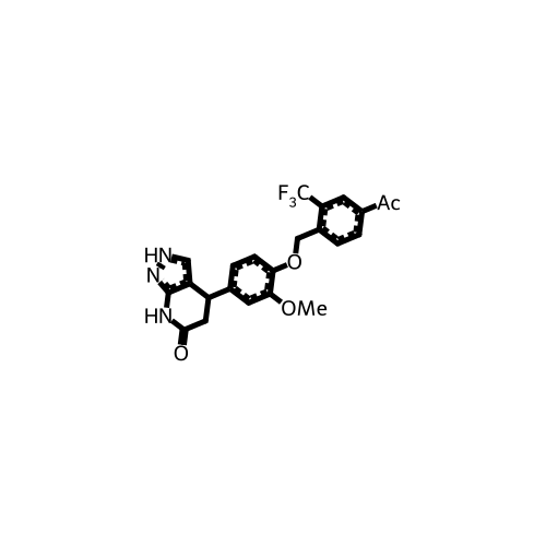 COc1cc(C2CC(=O)Nc3n[nH]cc32)ccc1OCc1ccc(C(C)=O)cc1C(F)(F)F